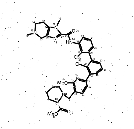 COC(=O)[C@@H]1CCCCN1Cc1ccc(-c2cccc(-c3cccc(NC(=O)c4nc5c(n4C)CCN(C)C5)c3Cl)c2Cl)nc1OC